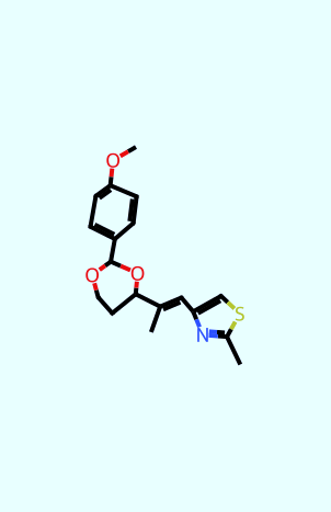 COc1ccc(C2OCCC(C(C)=Cc3csc(C)n3)O2)cc1